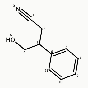 N#CCC(CO)c1ccccc1